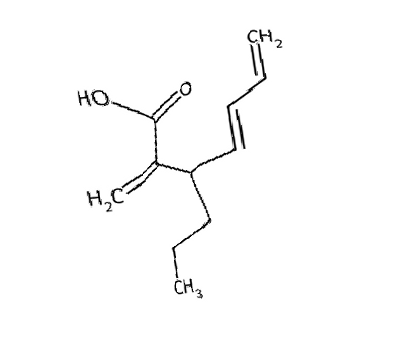 C=CC=CC(CCC)C(=C)C(=O)O